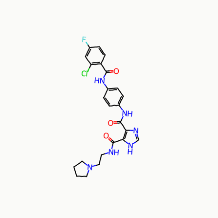 O=C(Nc1ccc(NC(=O)c2nc[nH]c2C(=O)NCCN2CCCC2)cc1)c1ccc(F)cc1Cl